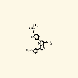 CC(=O)OC[C@@H]1CC[C@H](c2cc(N)n3ncc(-c4cnn(C)c4)c3n2)CN1